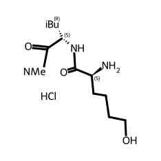 CC[C@@H](C)[C@H](NC(=O)[C@@H](N)CCCCO)C(=O)NC.Cl